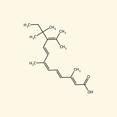 CCC(C)(C)C(C=CC(C)=CC=C/C(C)=C/C(=O)O)=C(C)C